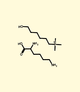 C[PH](C)(C)CCCCCCO.NCCCCC(N)C(=O)O